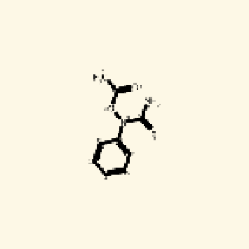 NC(=S)N(OC(=O)C(F)(F)F)c1ccccc1